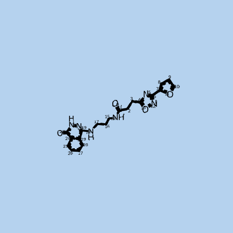 O=C(CCc1nc(-c2ccco2)no1)NCCCNc1n[nH]c(=O)c2ccccc12